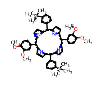 COc1ccc(-c2c3nc(c(-c4cccc([Si](C)(C)C)c4)c4ccc([nH]4)c(-c4ccc(OC)c(OC)c4)c4nc(c(-c5cccc([Si](C)(C)C)c5)c5ccc2[nH]5)C=C4)C=C3)cc1OC